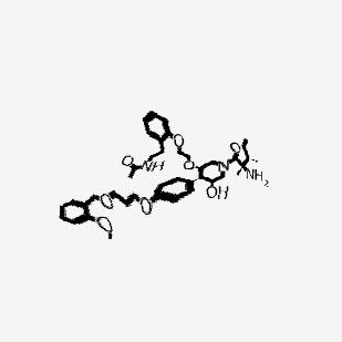 CC[C@H](C)[C@](C)(N)C(=O)N1C[C@@H](O)[C@H](c2ccc(OCCCOCc3ccccc3OC)cc2)[C@@H](OCCOc2ccccc2CCNC(C)=O)C1